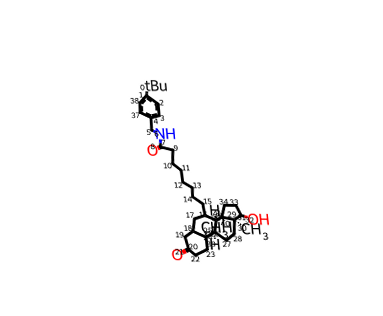 CC(C)(C)c1ccc(CNC(=O)CCCCCCCC2CC3CC(=O)CC[C@]3(C)[C@@H]3CC[C@]4(C)C(O)CC[C@H]4[C@H]23)cc1